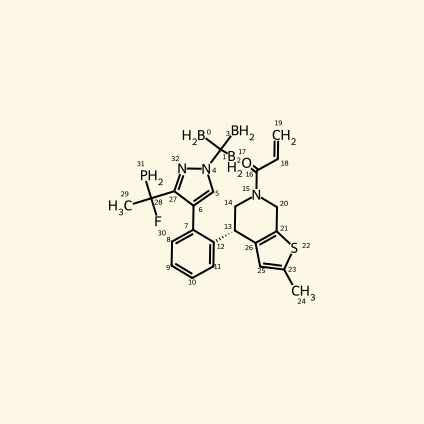 BC(B)(B)n1cc(-c2ccccc2[C@@H]2CN(C(=O)C=C)Cc3sc(C)cc32)c(C(C)(F)P)n1